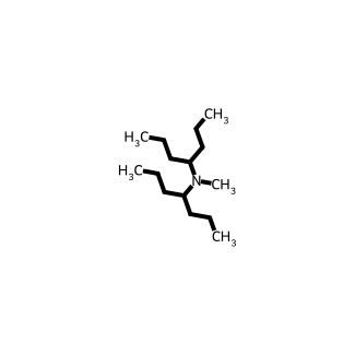 CCCC(CCC)N(C)C(CCC)CCC